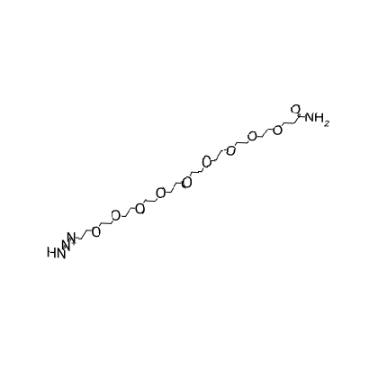 N=[N+]=NCCOCCOCCOCCOCCOCCOCCOCCOCCOCCC(N)=O